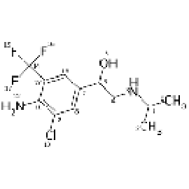 CC(C)NCC(O)c1cc(Cl)c(N)c(C(F)(F)F)c1